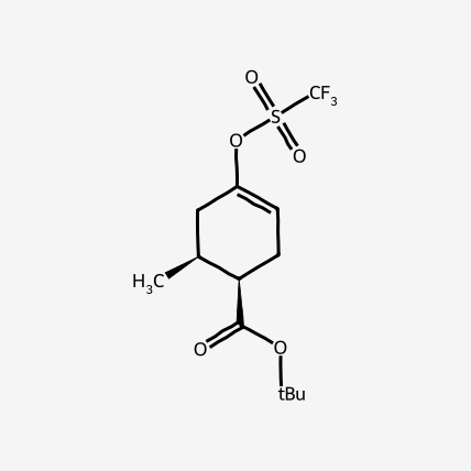 C[C@H]1CC(OS(=O)(=O)C(F)(F)F)=CC[C@H]1C(=O)OC(C)(C)C